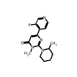 CC1CCCCN1c1nc(-c2ccncc2F)cc(=O)n1C